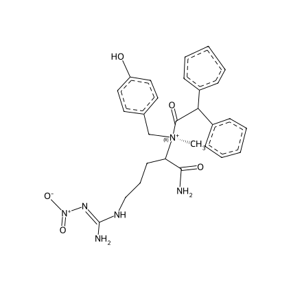 C[N@+](Cc1ccc(O)cc1)(C(=O)C(c1ccccc1)c1ccccc1)C(CCCNC(N)=N[N+](=O)[O-])C(N)=O